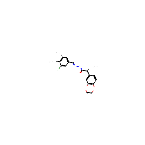 COc1cc(/C=N/NC(=O)C(OC)c2ccc3c(c2)OCCO3)cc(Br)c1OC